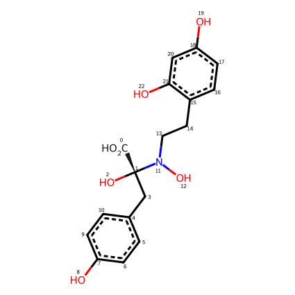 O=C(O)[C@](O)(Cc1ccc(O)cc1)N(O)CCc1ccc(O)cc1O